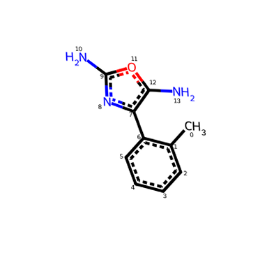 Cc1ccccc1-c1nc(N)oc1N